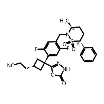 C[C@H]1CC[C@H](c2ccccc2)S(=O)(=O)N1Cc1cc(F)c([C@]2(c3n[nH]c(=O)o3)C[C@@H](CCC#N)C2)cc1F